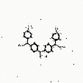 CCCCCCCCCC(c1ccc(N)cc1)c1ccc(C(CCCCC)c2ccc(C(CCCCCCCCC)c3ccc(N)cc3)cc2)cc1